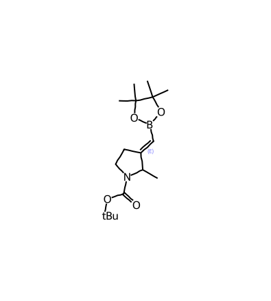 CC1/C(=C/B2OC(C)(C)C(C)(C)O2)CCN1C(=O)OC(C)(C)C